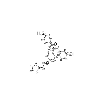 Cc1ccc(S(=O)(=O)N(Cc2cccc(O)c2)c2ccc(OCCN3CCCC3)cc2)cc1